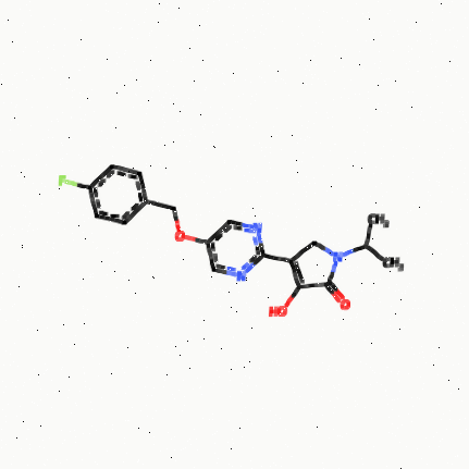 CC(C)N1CC(c2ncc(OCc3ccc(F)cc3)cn2)=C(O)C1=O